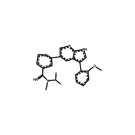 COc1ccccc1-c1c[nH]c2ncc(-c3cccc(C(=N)N(C)C(C)C)c3)cc12